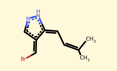 CC(C)=C/C=c1/[nH]nc/c1=C\Br